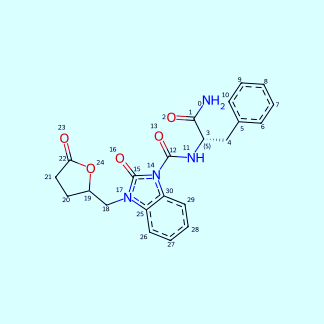 NC(=O)[C@H](Cc1ccccc1)NC(=O)n1c(=O)n(CC2CCC(=O)O2)c2ccccc21